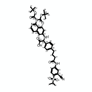 CC(C)S(=O)(=O)c1ccc(NC(=O)CCCc2ccc(C(Nc3ccc4c(N(C(=O)OC(C)(C)C)C(=O)OC(C)(C)C)nccc4c3)C(=O)O)cc2)cc1C#N